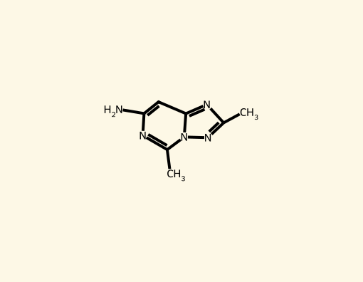 Cc1nc2cc(N)nc(C)n2n1